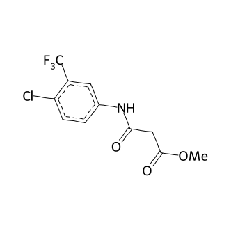 COC(=O)CC(=O)Nc1ccc(Cl)c(C(F)(F)F)c1